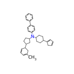 CC1=CC=CC(C2CCC(N(c3ccc(-c4ccccc4)cc3)C3CCC(C4=CC=CC4)CC3)C2)C1